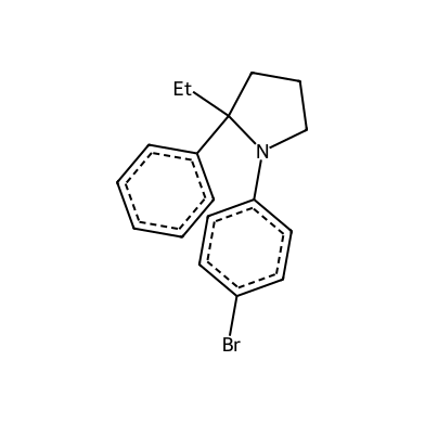 CCC1(c2ccccc2)CCCN1c1ccc(Br)cc1